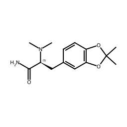 CN(C)[C@@H](Cc1ccc2c(c1)OC(C)(C)O2)C(N)=O